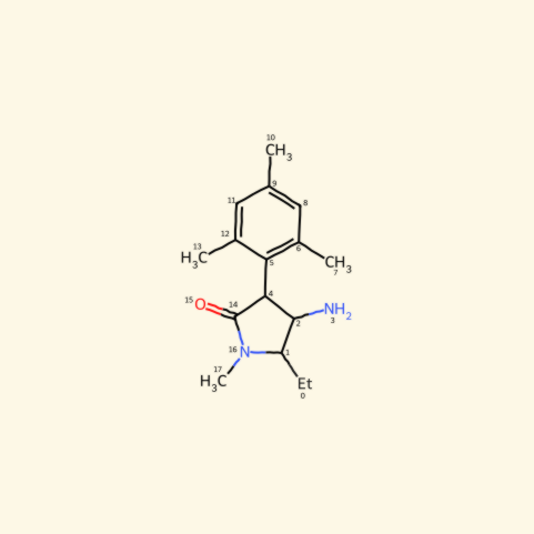 CCC1C(N)C(c2c(C)cc(C)cc2C)C(=O)N1C